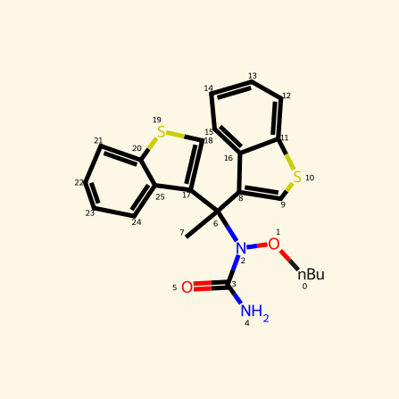 CCCCON(C(N)=O)C(C)(c1csc2ccccc12)c1csc2ccccc12